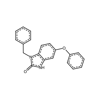 O=c1[nH]c2cc(Oc3ccccc3)ccc2n1Cc1ccccc1